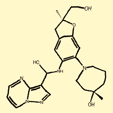 C[C@]1(O)CCCN(c2cc3c(cc2NC(O)c2cnn4cccnc24)C[C@@](C)(CO)O3)CC1